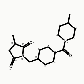 CC1CCN(C(=O)C2CCC(CN3C(=O)CC(C)C3=O)CC2)CC1